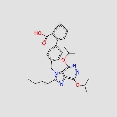 CCCCc1nc2c(OC(C)C)nnc(OC(C)C)c2n1Cc1ccc(-c2ccccc2C(=O)O)cc1